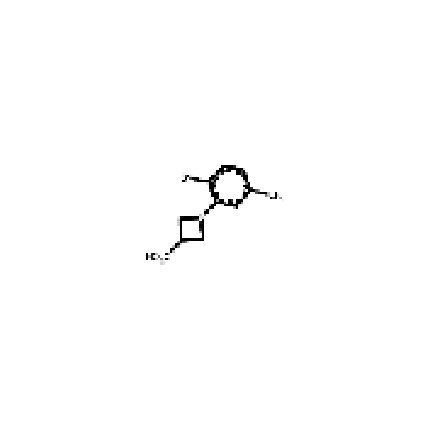 O=C(O)C1CN(c2cc(C(F)(F)F)ccc2Br)C1